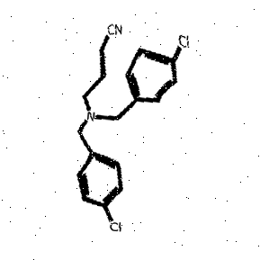 N#CCCCN(Cc1ccc(Cl)cc1)Cc1ccc(Cl)cc1